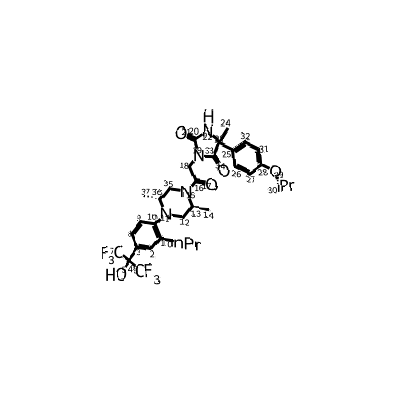 CCCc1cc(C(O)(C(F)(F)F)C(F)(F)F)ccc1N1C[C@H](C)N(C(=O)CN2C(=O)NC(C)(c3ccc(OC(C)C)cc3)C2=O)C[C@H]1C